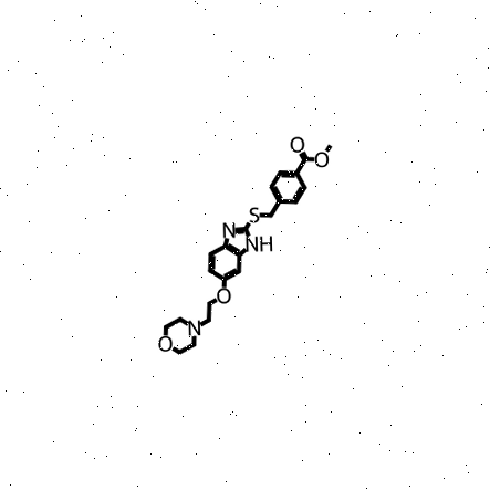 COC(=O)c1ccc(CSc2nc3ccc(OCCN4CCOCC4)cc3[nH]2)cc1